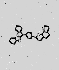 c1cnc2c(c1)ccc1ccc(-c3ccc(-c4c5ccccc5n5c4oc4ccccc45)cc3)nc12